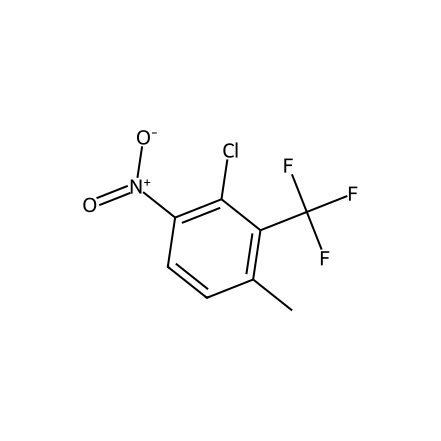 Cc1ccc([N+](=O)[O-])c(Cl)c1C(F)(F)F